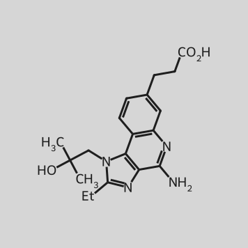 CCc1nc2c(N)nc3cc(CCC(=O)O)ccc3c2n1CC(C)(C)O